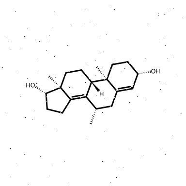 C[C@H]1CC2=C[C@@H](O)CC[C@]2(C)[C@H]2CC[C@@]3(C)C(=C12)CC[C@@H]3O